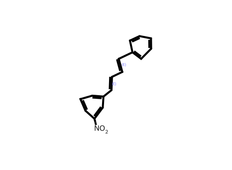 O=[N+]([O-])c1cccc(/C=C/C=C/c2ccccc2)c1